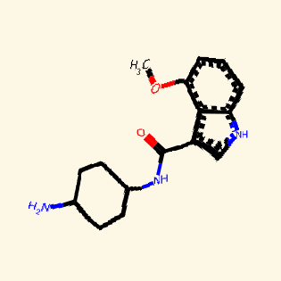 COc1cccc2[nH]cc(C(=O)NC3CCC(N)CC3)c12